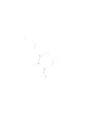 C=C(CC)C(=O)C(=O)OCC